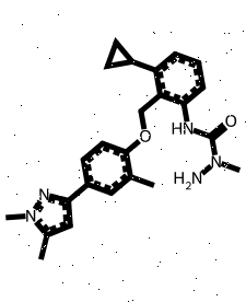 Cc1cc(-c2cc(C)n(C)n2)ccc1OCc1c(NC(=O)N(C)N)cccc1C1CC1